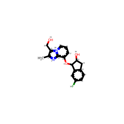 Cc1nc2c(OC3c4cc(F)ccc4CC3O)cccn2c1CO